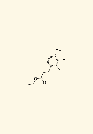 CCOC(=O)CCc1ccc(O)c(F)c1C